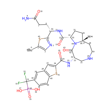 CC(C)(C)c1cnc([C@H](CCC(N)=O)NC(=O)[C@@H]2CC[C@@H]3CCNC[C@H](NC(=O)c4cc5cc(C(F)(F)P(=O)(O)O)ccc5s4)C(=O)N32)s1